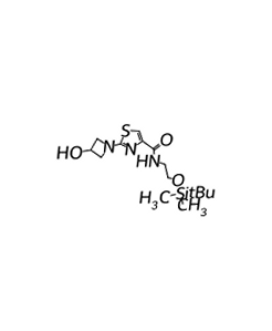 CC(C)(C)[Si](C)(C)OCCNC(=O)c1csc(N2CC(O)C2)n1